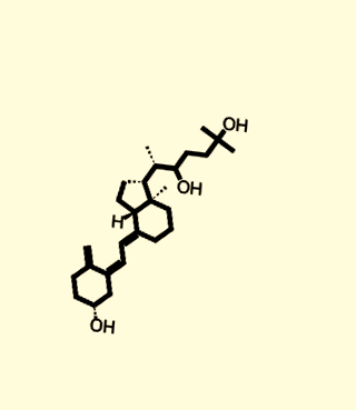 C=C1CC[C@@H](O)C/C1=C/C=C1\CCC[C@]2(C)[C@@H]([C@H](C)C(O)CCC(C)(C)O)CC[C@@H]12